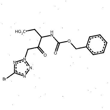 O=C(O)CC(NC(=O)OCc1ccccc1)C(=O)Cn1nnc(Br)n1